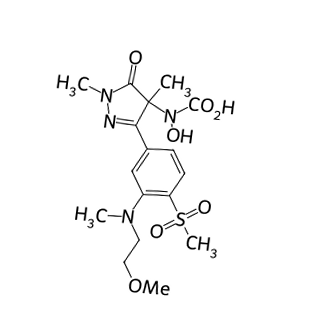 COCCN(C)c1cc(C2=NN(C)C(=O)C2(C)N(O)C(=O)O)ccc1S(C)(=O)=O